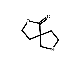 O=C1OCCC12CC[N]C2